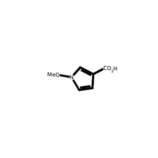 COn1ccc(C(=O)O)c1